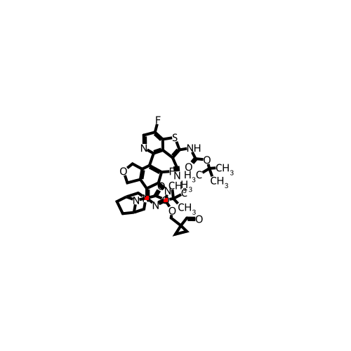 CC(C)(C)OC(=O)Nc1sc2c(F)cnc(-c3c4c(c5c(N6C7CCC6CN(C(=O)OC(C)(C)C)C7)nc(OCC6(C=O)CC6)nc5c3F)COC4)c2c1C#N